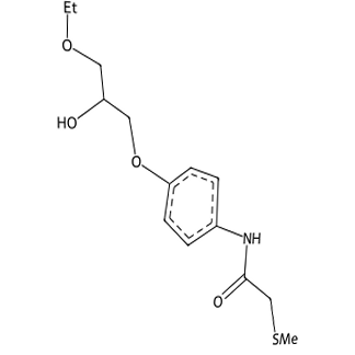 CCOCC(O)COc1ccc(NC(=O)CSC)cc1